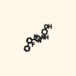 OC1CCC(Nc2cnc(-c3cccc(-c4ccccc4)c3F)cn2)CC1